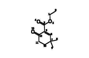 CCOC(=O)C1=CC(C)(C)CCC1=O